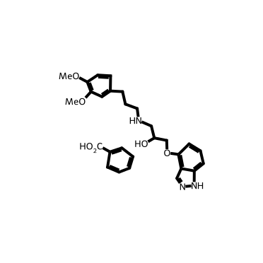 COc1ccc(CCCNCC(O)COc2cccc3[nH]ncc23)cc1OC.O=C(O)c1ccccc1